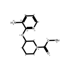 CC(C)(C)OC(=O)N1CCCC(Oc2ncccc2N)C1